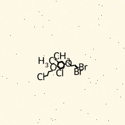 CC(C)c1cc(OCC=C(Br)Br)cc(Cl)c1OCCCCl